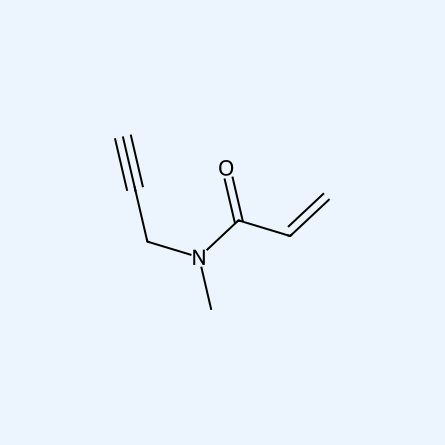 C#CCN(C)C(=O)C=C